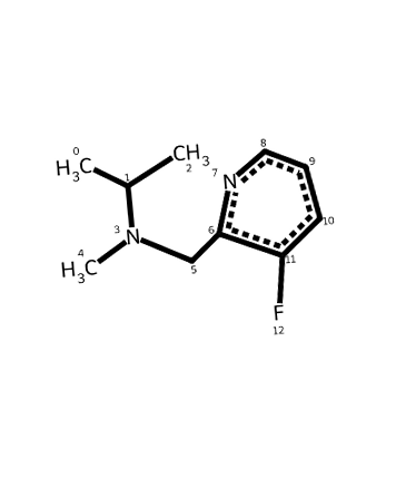 CC(C)N(C)Cc1ncccc1F